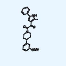 COc1cccc(C2CCN(C(=O)C(=O)c3cc(-c4ccccc4)[nH]c3C)CC2)c1